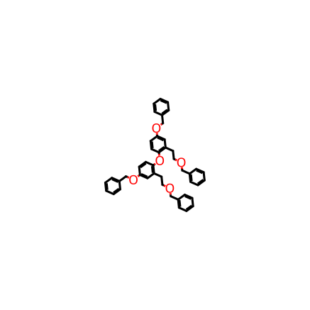 c1ccc(COCCc2cc(OCc3ccccc3)ccc2Oc2ccc(OCc3ccccc3)cc2CCOCc2ccccc2)cc1